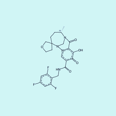 C[C@H]1CCC2(CCOC2)N2CN1C(=O)c1c(O)c(=O)c(C(=O)NCc3c(F)cc(F)cc3F)cn12